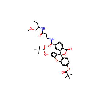 CCC(COC)NC(=O)CCNC(=O)c1ccc2c(c1)C1(OC2=O)c2ccc(OC(=O)C(C)(C)C)cc2Oc2cc(OC(=O)C(C)(C)C)ccc21